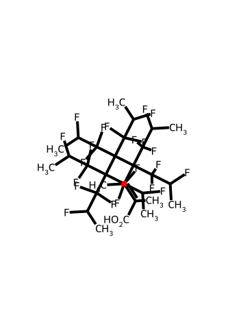 C/C(C(=O)O)=C(/C)C(C(F)(F)C(C)F)(C(F)(F)C(C)F)C(C(F)(F)C(C)F)(C(F)(F)C(C)F)C(C(F)(F)C(C)F)(C(F)(F)C(C)F)C(F)(F)C(C)F